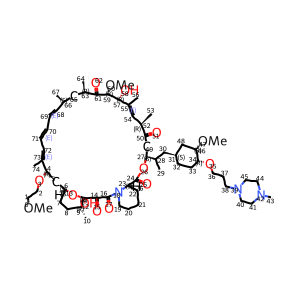 COCCO[C@@H]1C[C@@H]2CC[C@@H](C)[C@@](O)(O2)C(=O)C(=O)N2CCCC[C@H]2C(=O)O[C@H](C(C)C[C@@H]2CC[C@@H](OCCCN3CCN(C)CC3)[C@H](OC)C2)CC(=O)[C@H](C)/C=C(\C)[C@@H](O)[C@@H](OC)C(=O)[C@H](C)C[C@H](C)/C=C/C=C/C=C/1C